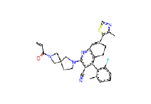 C=CC(=O)N1CC2(CCN(c3nc4c(c(-c5c(C)cccc5F)c3C#N)CCC(c3scnc3C)=C4)C2)C1